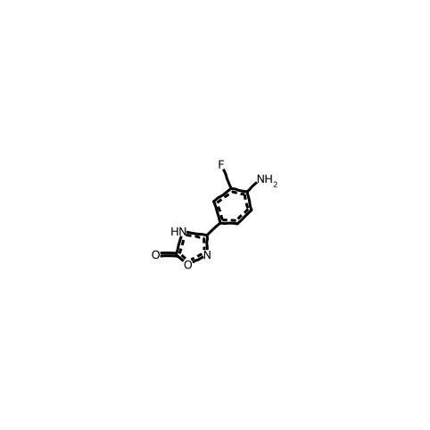 Nc1ccc(-c2noc(=O)[nH]2)cc1F